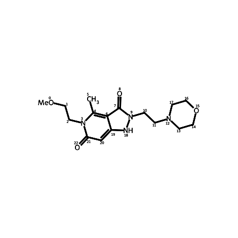 COCCn1c(C)c2c(=O)n(CCN3CCOCC3)[nH]c2cc1=O